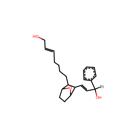 CCC(O)(C=CC1C2CCC(O2)C1CCCCC=CCO)c1ccccc1